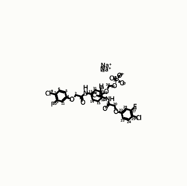 O=C(COc1ccc(Cl)c(F)c1)NC12CCC(NC(=O)COc3ccc(Cl)c(F)c3)(CC1)[C@@H](OCOP(=O)([O-])[O-])C2.[Na+].[Na+]